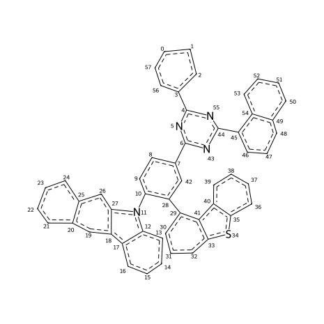 c1ccc(-c2nc(-c3ccc(-n4c5ccccc5c5cc6ccccc6cc54)c(-c4cccc5sc6ccccc6c45)c3)nc(-c3cccc4ccccc34)n2)cc1